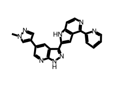 Cn1cc(-c2cnc3[nH]nc(-c4cc5c(-c6ccccn6)nccc5[nH]4)c3c2)cn1